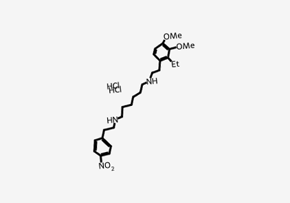 CCc1c(CCNCCCCCCNCCc2ccc([N+](=O)[O-])cc2)ccc(OC)c1OC.Cl.Cl